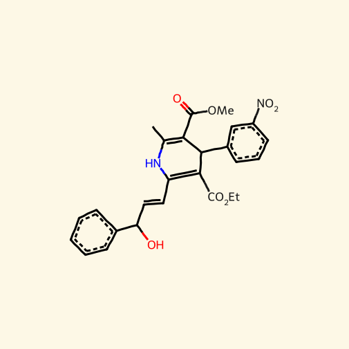 CCOC(=O)C1=C(C=CC(O)c2ccccc2)NC(C)=C(C(=O)OC)C1c1cccc([N+](=O)[O-])c1